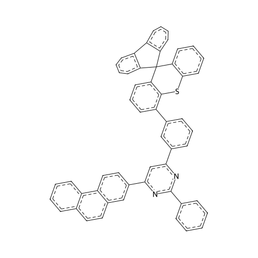 c1ccc(-c2nc(-c3cccc(-c4cccc5c4Sc4ccccc4C54c5ccccc5-c5ccccc54)c3)cc(-c3ccc4c(ccc5ccccc54)c3)n2)cc1